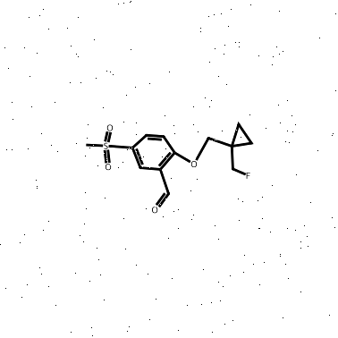 CS(=O)(=O)c1ccc(OCC2(CF)CC2)c(C=O)c1